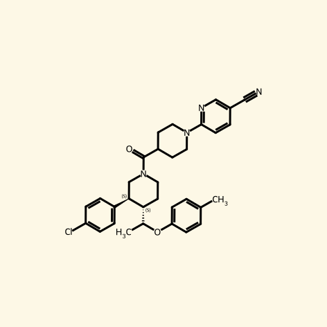 Cc1ccc(OC(C)[C@H]2CCN(C(=O)C3CCN(c4ccc(C#N)cn4)CC3)C[C@@H]2c2ccc(Cl)cc2)cc1